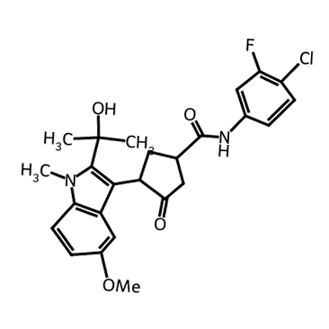 COc1ccc2c(c1)c(C1CC(C(=O)Nc3ccc(Cl)c(F)c3)CC1=O)c(C(C)(C)O)n2C